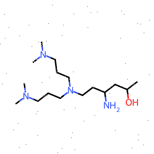 CC(O)CC(N)CCN(CCCN(C)C)CCCN(C)C